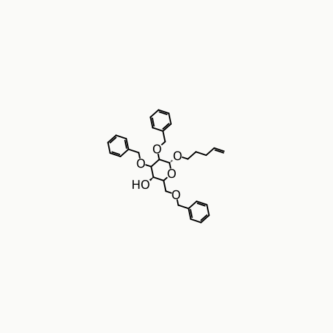 C=CCCCO[C@@H]1OC(COCc2ccccc2)[C@@H](O)C(OCc2ccccc2)C1OCc1ccccc1